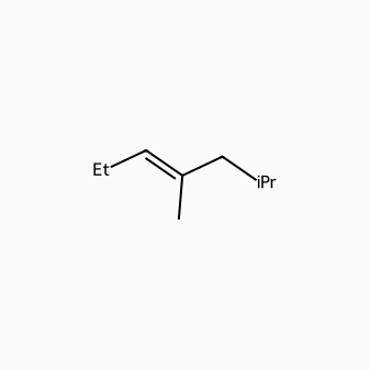 [CH2]C/C=C(\C)CC(C)C